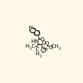 COC(=O)[C@@H]1CCCN1C(=O)[C@@H](NC(=O)c1ccc2cnccc2c1)C(C)C